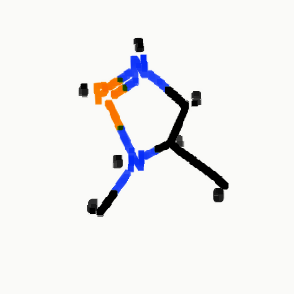 CC1CN=PN1C